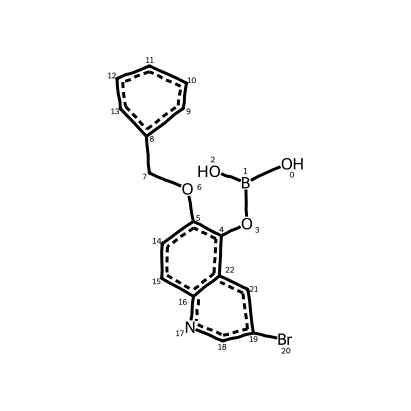 OB(O)Oc1c(OCc2ccccc2)ccc2ncc(Br)cc12